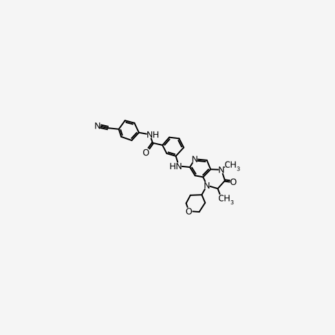 CC1C(=O)N(C)c2cnc(Nc3cccc(C(=O)Nc4ccc(C#N)cc4)c3)cc2N1C1CCOCC1